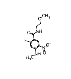 CNc1cc(F)c(C(=O)NCCOC)cc1[N+](=O)[O-]